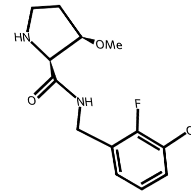 CO[C@@H]1CCN[C@@H]1C(=O)NCc1cccc(Cl)c1F